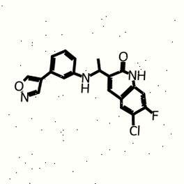 CC(Nc1cccc(-c2cnoc2)c1)c1cc2cc(Cl)c(F)cc2[nH]c1=O